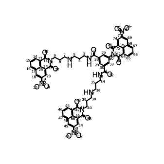 O=C(NCCCNCCCN1C(=O)c2cccc3cc([N+](=O)[O-])cc(c23)C1=O)c1cc(C(=O)NCCCNCCCN2C(=O)c3cccc4cc([N+](=O)[O-])cc(c34)C2=O)cc(N2C(=O)c3cccc4cc([N+](=O)[O-])cc(c34)C2=O)c1